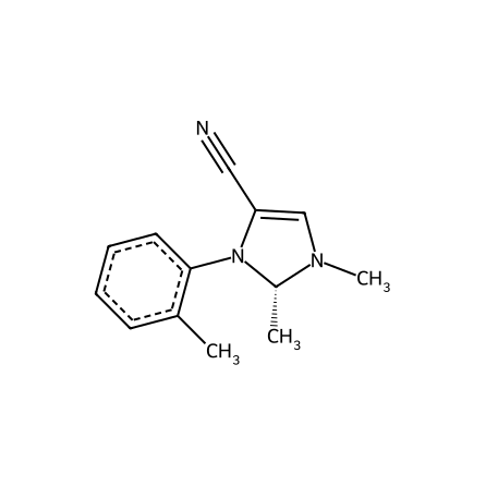 Cc1ccccc1N1C(C#N)=CN(C)[C@@H]1C